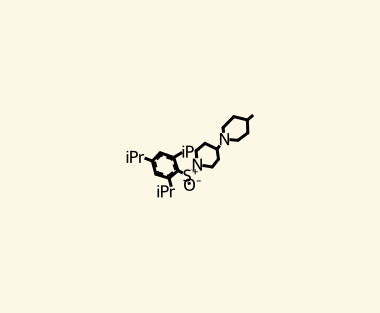 CC1CCN(C2CCN([S+]([O-])c3c(C(C)C)cc(C(C)C)cc3C(C)C)CC2)CC1